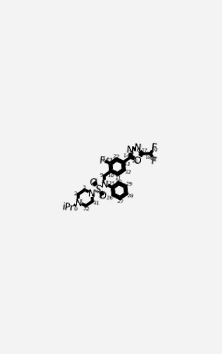 CC(C)N1CCN(S(=O)(=O)N(Cc2ccc(-c3nnc(C(F)F)o3)cc2F)c2ccccc2)CC1